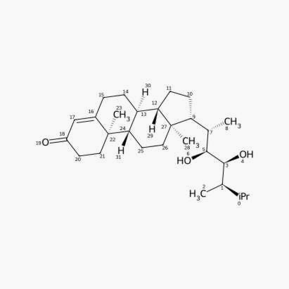 CC(C)[C@@H](C)[C@H](O)[C@@H](O)[C@@H](C)[C@H]1CC[C@H]2[C@@H]3CCC4=CC(=O)CC[C@]4(C)[C@H]3CC[C@]12C